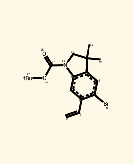 C=Cc1cc2c(cc1Br)C(C)(C)CN2C(=O)OC(C)(C)C